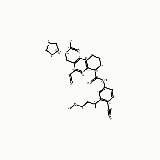 COCCNc1cc(NC(=O)N2CCCc3cc(CN(C(C)=O)[C@@H]4CCOC4)c(C=O)nc32)ncc1C#N